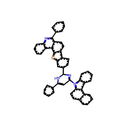 C1=C(c2ccccc2)NC(c2ccc3c(c2)sc2c3ccc3c(-c4ccccc4)nc4ccccc4c32)N=C1n1c2ccccc2c2c3ccccc3ccc21